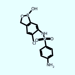 Nc1ccc(S(=O)(=O)Nc2cc3c(cc2Cl)COB3O)cc1